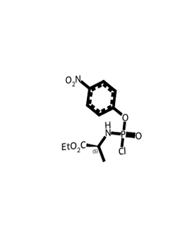 CCOC(=O)[C@H](C)NP(=O)(Cl)Oc1ccc([N+](=O)[O-])cc1